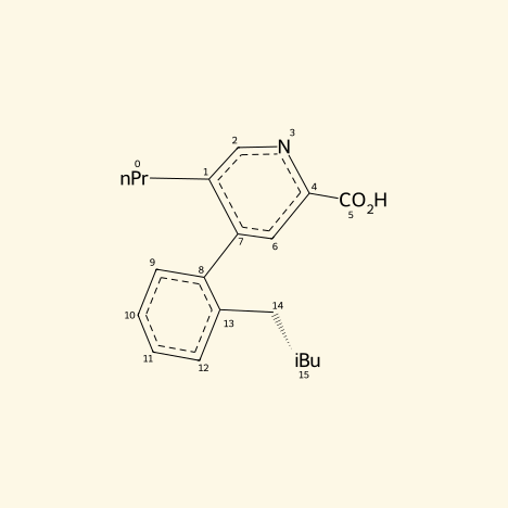 CCCc1cnc(C(=O)O)cc1-c1ccccc1C[C@@H](C)CC